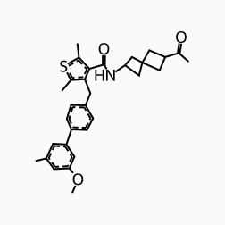 COc1cc(C)cc(-c2ccc(Cc3c(C)sc(C)c3C(=O)NC3CC4(C3)CC(C(C)=O)C4)cc2)c1